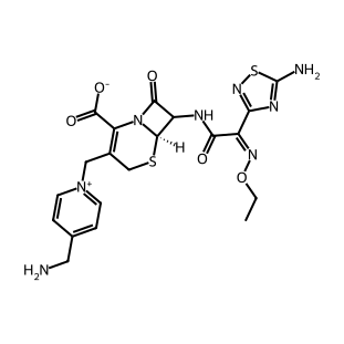 CCO/N=C(\C(=O)NC1C(=O)N2C(C(=O)[O-])=C(C[n+]3ccc(CN)cc3)CS[C@H]12)c1nsc(N)n1